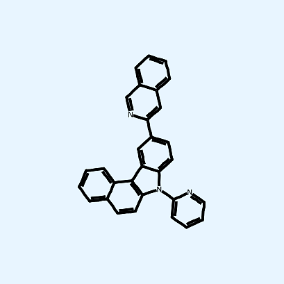 c1ccc(-n2c3ccc(-c4cc5ccccc5cn4)cc3c3c4ccccc4ccc32)nc1